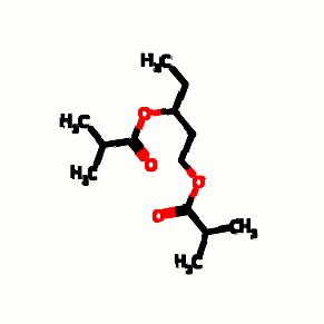 CCC(CCOC(=O)C(C)C)OC(=O)C(C)C